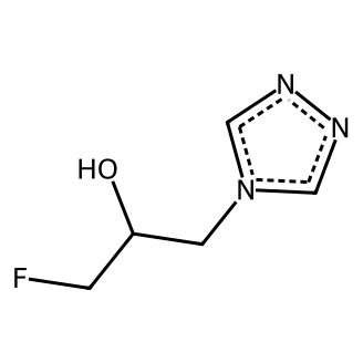 OC(CF)Cn1cnnc1